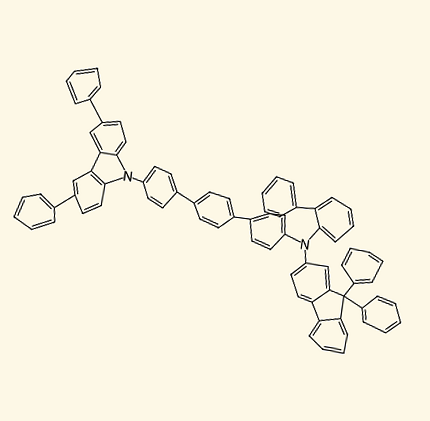 c1ccc(-c2ccc3c(c2)c2cc(-c4ccccc4)ccc2n3-c2ccc(-c3ccc(-c4ccc(N(c5ccc6c(c5)C(c5ccccc5)(c5ccccc5)c5ccccc5-6)c5ccccc5-c5ccccc5)cc4)cc3)cc2)cc1